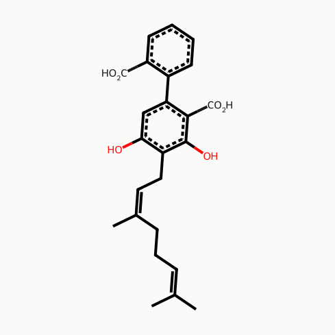 CC(C)=CCCC(C)=CCc1c(O)cc(-c2ccccc2C(=O)O)c(C(=O)O)c1O